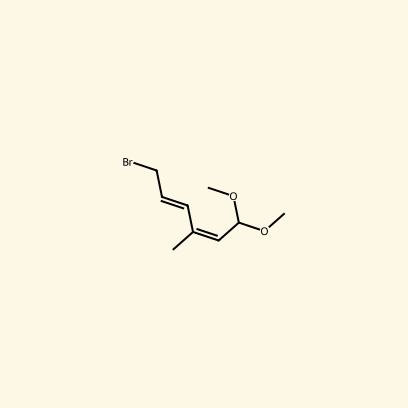 COC(C=C(C)C=CCBr)OC